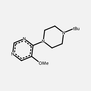 COc1cncnc1N1CCN(C(C)(C)C)CC1